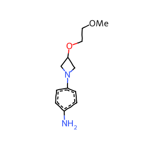 COCCOC1CN(c2ccc(N)cc2)C1